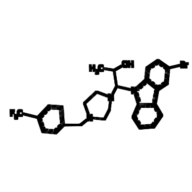 CC(O)C(N1CCN(Cc2ccc(C(F)(F)F)cc2)CC1)n1c2ccccc2c2cc(Br)ccc21